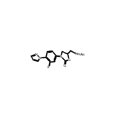 CC(=O)NCC1CN(c2ccc(-n3cccn3)c(F)c2)C(=O)O1